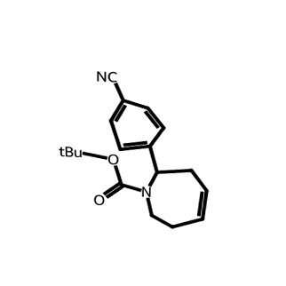 CC(C)(C)OC(=O)N1CCC=CCC1c1ccc(C#N)cc1